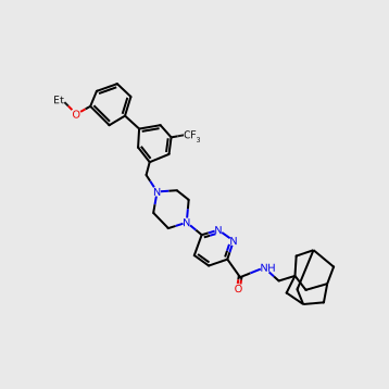 CCOc1cccc(-c2cc(CN3CCN(c4ccc(C(=O)NCC56CC7CC(CC(C7)C5)C6)nn4)CC3)cc(C(F)(F)F)c2)c1